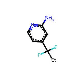 CCC(F)(F)c1ccnc(N)c1